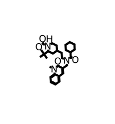 Cn1c(=O)c(CN(CCC2CCN(C(=O)O)C(C(C)(C)C)C2)C(=O)C2CCCCC2)cc2ccccc21